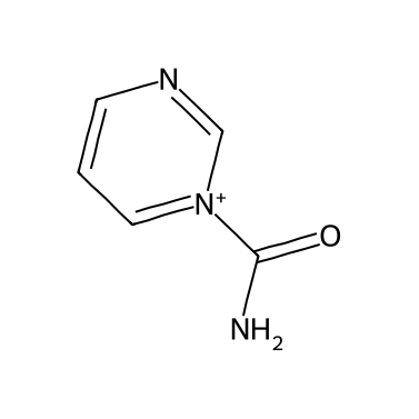 NC(=O)[n+]1cccnc1